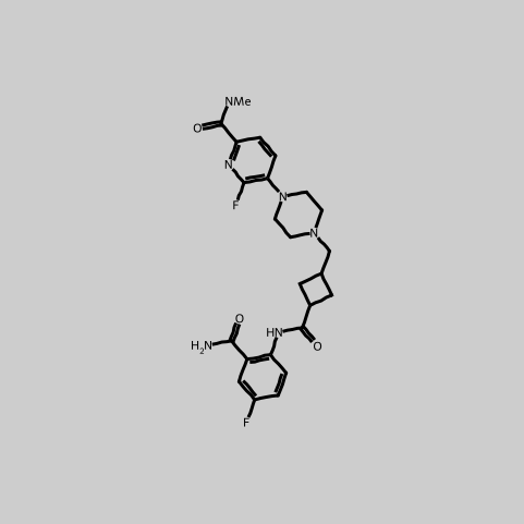 CNC(=O)c1ccc(N2CCN(CC3CC(C(=O)Nc4ccc(F)cc4C(N)=O)C3)CC2)c(F)n1